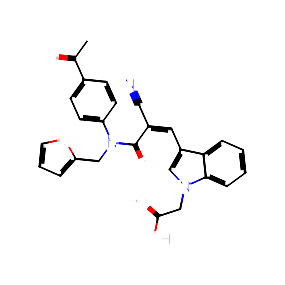 CC(=O)c1ccc(N(Cc2ccco2)C(=O)C(C#N)=Cc2cn(CC(=O)O)c3ccccc23)cc1